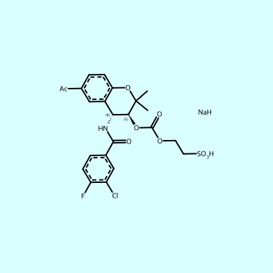 CC(=O)c1ccc2c(c1)[C@@H](NC(=O)c1ccc(F)c(Cl)c1)[C@H](OC(=O)OCCS(=O)(=O)O)C(C)(C)O2.[NaH]